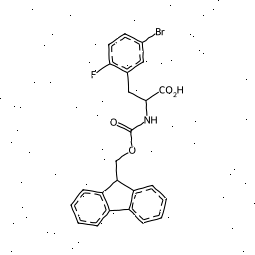 O=C(NC(Cc1cc(Br)ccc1F)C(=O)O)OCC1c2ccccc2-c2ccccc21